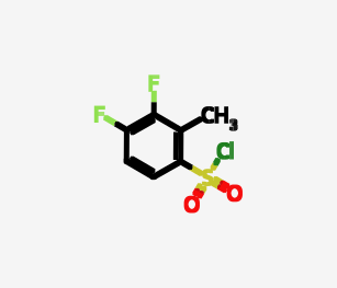 Cc1c(S(=O)(=O)Cl)ccc(F)c1F